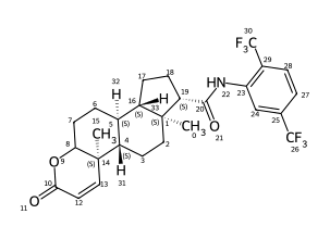 C[C@]12CC[C@H]3[C@@H](CCC4OC(=O)C=C[C@@]43C)[C@@H]1CC[C@@H]2C(=O)Nc1cc(C(F)(F)F)ccc1C(F)(F)F